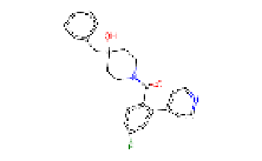 O=C(c1ccc(F)cc1-c1ccncc1)N1CCC(O)(Cc2ccccc2)CC1